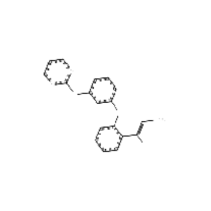 COC=C(C(=O)O)c1ccccc1Oc1cccc(Oc2ncccn2)c1